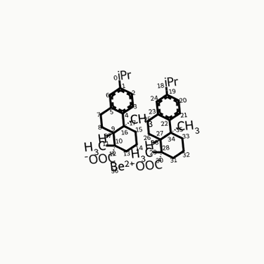 CC(C)c1ccc2c(c1)CC[C@H]1[C@@](C)(C(=O)[O-])CCC[C@]21C.CC(C)c1ccc2c(c1)CC[C@H]1[C@@](C)(C(=O)[O-])CCC[C@]21C.[Be+2]